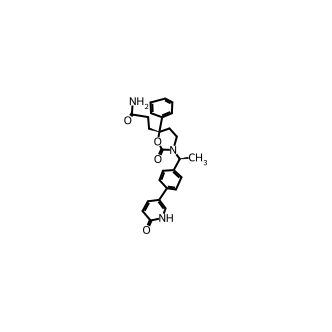 C[C@@H](c1ccc(-c2ccc(=O)[nH]c2)cc1)N1CC[C@@](CCC(N)=O)(c2ccccc2)OC1=O